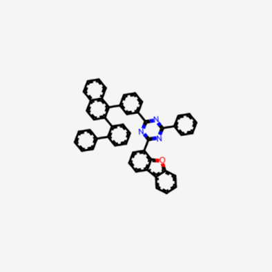 c1ccc(-c2nc(-c3cccc(-c4c(-c5ccccc5-c5ccccc5)ccc5ccccc45)c3)nc(-c3cccc4c3oc3ccccc34)n2)cc1